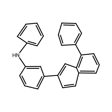 c1ccc(Nc2cccc(-c3ccc4cccc(-c5ccccc5)c4c3)c2)cc1